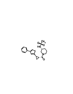 CS(=O)(=O)N[C@@H]1CCCN(C(=O)[C@@H]2C[C@H]2c2cc(-c3ccccc3)cs2)C1